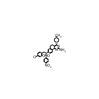 CN1CCN(c2nc(N)nc3c2CCc2cc(N(Cc4ccc(Cl)cc4)S(=O)(=O)c4ccc([N+](=O)[O-])cc4)ccc2-3)CC1